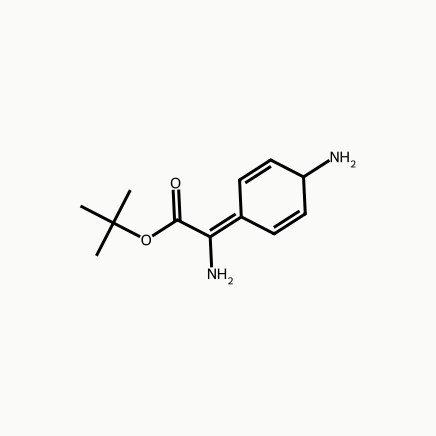 CC(C)(C)OC(=O)C(N)=C1C=CC(N)C=C1